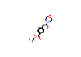 COC(=O)c1ccc(CC(=O)N2CCOCC2)cc1